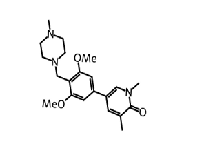 COc1cc(-c2cc(C)c(=O)n(C)c2)cc(OC)c1CN1CCN(C)CC1